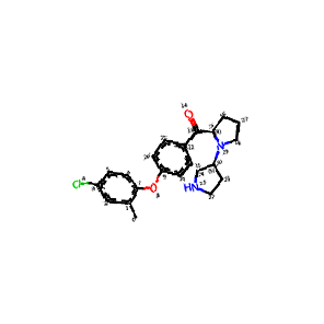 Cc1cc(Cl)ccc1Oc1ccc(C(=O)[C@H]2CCCN2[C@H]2CCNC2)cc1